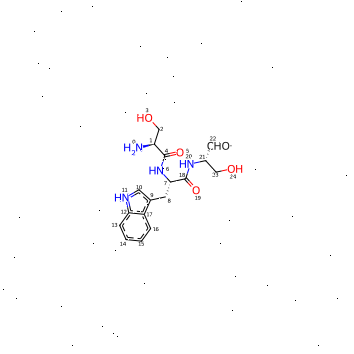 N[C@@H](CO)C(=O)N[C@@H](Cc1c[nH]c2ccccc12)C(=O)N[C@H]([C]=O)CO